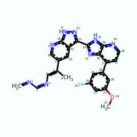 C=N/C=N\C=C(/C)c1cnc2[nH]nc(-c3nc4c(-c5cc(F)cc(OC)c5)ccnc4[nH]3)c2c1